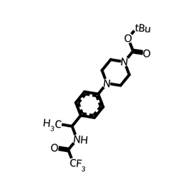 CC(NC(=O)C(F)(F)F)c1ccc(N2CCN(C(=O)OC(C)(C)C)CC2)cc1